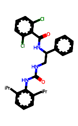 CC(C)c1cccc(C(C)C)c1NC(=O)NCC(NC(=O)c1c(Cl)cccc1Cl)c1ccccc1